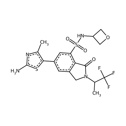 Cc1nc(N)sc1-c1cc2c(c(S(=O)(=O)NC3COC3)c1)C(=O)N(C(C)C(F)(F)F)C2